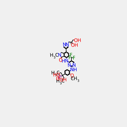 CCC(CC)(c1ccc(Nc2ncc(C(F)(F)F)c(Nc3ccc(-c4cnn(C[C@H](O)CO)c4)c4c3C(=O)N(C)C4)n2)c(OC)c1)P(=O)(O)O